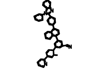 CC1C=C(c2ccccn2)C=CC1c1cc(C#N)cc(-c2ccc(-c3ccc(-c4nc5ccccc5n4-c4ccccc4)cc3)c3ccccc23)c1